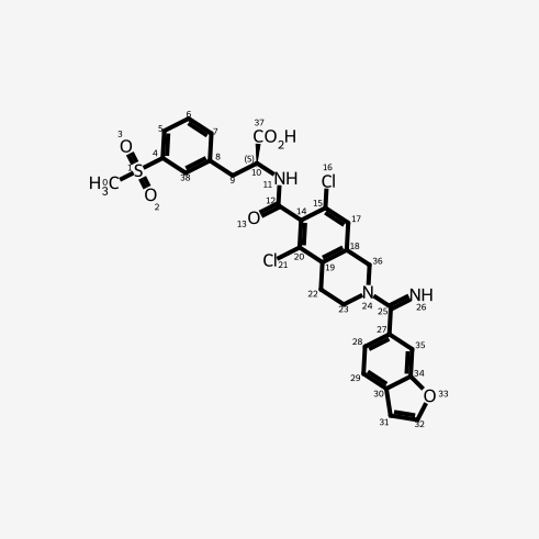 CS(=O)(=O)c1cccc(C[C@H](NC(=O)c2c(Cl)cc3c(c2Cl)CCN(C(=N)c2ccc4ccoc4c2)C3)C(=O)O)c1